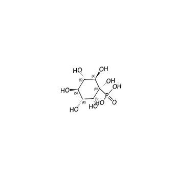 O=P(O)(O)[C@@]1(O)[C@H](O)[C@H](O)[C@@H](O)[C@H](O)[C@H]1O